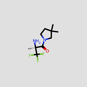 CC1(C)CCN(C(=O)[C@](C)(N)C(F)(F)F)C1